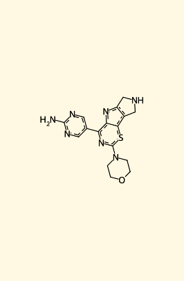 Nc1ncc(-c2nc(N3CCOCC3)sc3c4c(nc2-3)CNC4)cn1